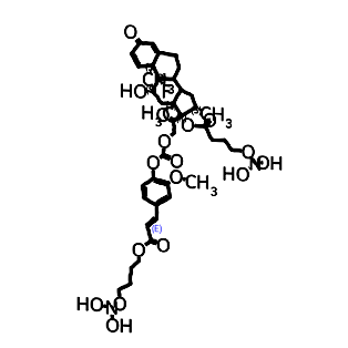 COc1cc(/C=C/C(=O)OCCCCON(O)O)ccc1OC(=O)OCC(=O)[C@@]1(OC(=O)CCCON(O)O)[C@@H](C)CC2C3CCC4=CC(=O)C=C[C@]4(C)[C@@]3(F)[C@@H](O)C[C@@]21C